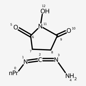 CCCN=C=NN.O=C1CCC(=O)N1O